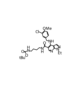 CCn1ncc2c(NCc3ccc(OC)c(Cl)c3)c(C(=O)NCCCCNC(=O)OC(C)(C)C)cnc21